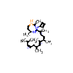 C=C1PCCC(C)/N=C(/C(C)=C/CC(C)/C(C)=C/C(C)C/C=C\C(C)C#N)N1C1=CC=C1